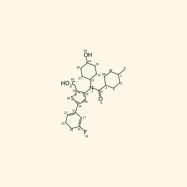 CC1CCC(C(=O)N(c2cc(C3=CCCC(F)=C3)sc2C(=O)O)C2CCC(O)CC2)CC1